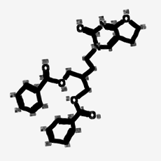 O=C(OCC(CCn1cc2c(nc1=O)OCC2)COC(=O)c1ccccc1)c1ccccc1